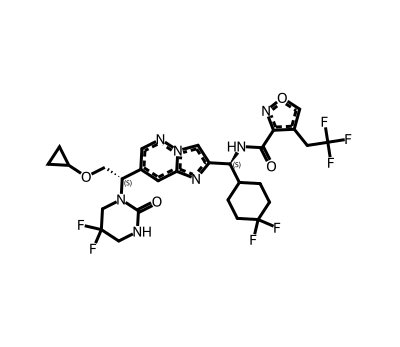 O=C(N[C@H](c1cn2ncc([C@@H](COC3CC3)N3CC(F)(F)CNC3=O)cc2n1)C1CCC(F)(F)CC1)c1nocc1CC(F)(F)F